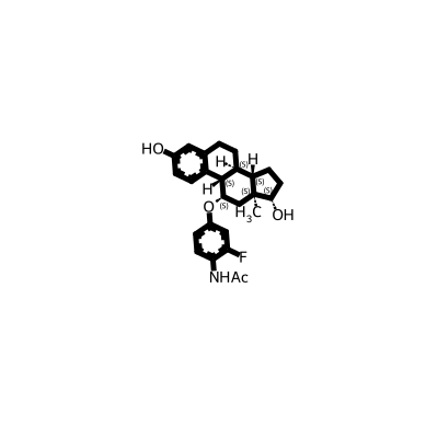 CC(=O)Nc1ccc(O[C@H]2C[C@]3(C)[C@@H](O)CC[C@H]3[C@@H]3CCc4cc(O)ccc4[C@H]32)cc1F